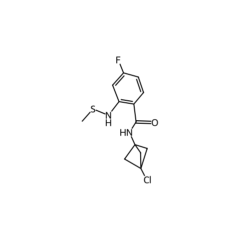 CSNc1cc(F)ccc1C(=O)NC12CC(Cl)(C1)C2